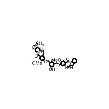 COc1cc2c(cc1OCc1cc(O)cc(COc3cc4c(cc3OC)C(=O)N3c5ccccc5C[C@H]3C=N4)c1)C=N[C@@H]1Cc3c(ncn3C)CN1C2=O